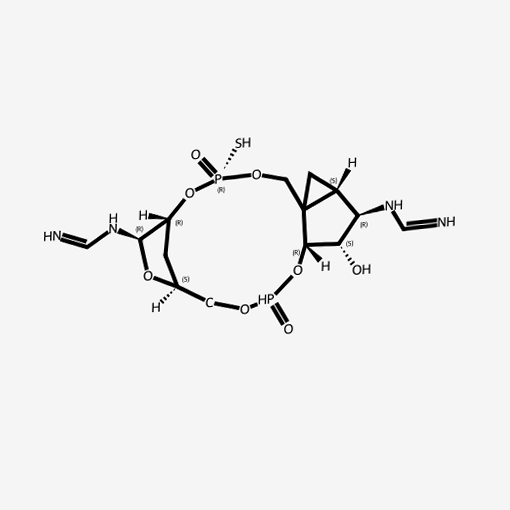 N=CN[C@H]1[C@H](O)[C@@H]2O[PH](=O)OC[C@@H]3C[C@@H](O[P@](=O)(S)OCC24C[C@H]14)[C@H](NC=N)O3